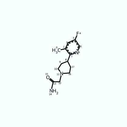 Cc1cc(F)cnc1C1CCN(CC(N)=O)CC1